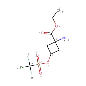 CCOC(=O)C1(N)CC(OS(=O)(=O)C(F)(F)F)C1